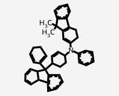 CC1(C)C2=C(CCC(N(c3ccccc3)C3C=CC(C4(C5=CCCC=C5)c5ccccc5C5C=CC=CC54)CC3)=C2)c2ccccc21